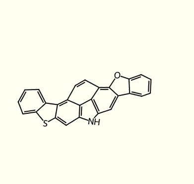 c1ccc2c(c1)oc1c2cc2[nH]c3cc4sc5ccccc5c4c4ccc1c2c34